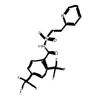 O=C(NS(=O)(=O)/C=C/c1ccccn1)c1ccc(C(F)(F)F)cc1C(F)(F)F